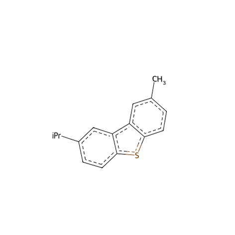 Cc1ccc2sc3ccc(C(C)C)cc3c2c1